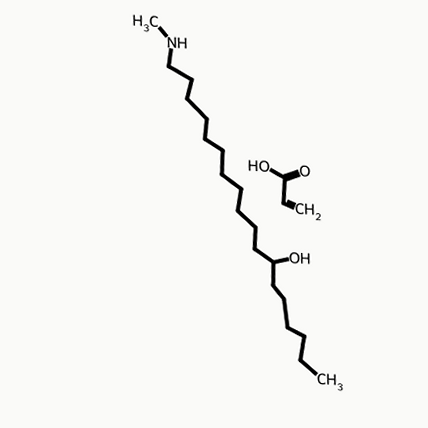 C=CC(=O)O.CCCCCCC(O)CCCCCCCCCCCNC